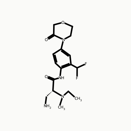 CCN(C)[C@H](CN)C(=O)Nc1ccc(N2CCOCC2=O)cc1C(F)F